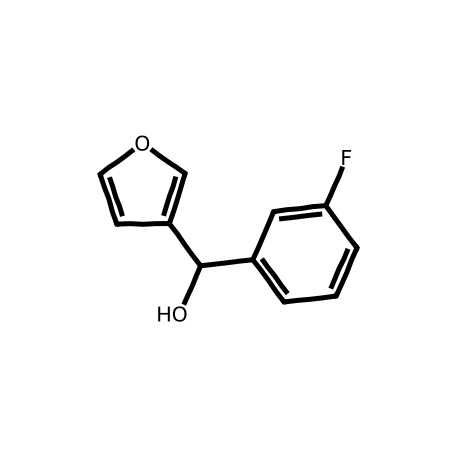 OC(c1ccoc1)c1cccc(F)c1